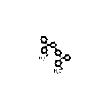 C=Cc1cccc(N(c2ccccc2)c2ccc(-c3cccc(N(c4ccccc4)c4cccc(C=C)c4)c3)cc2)c1